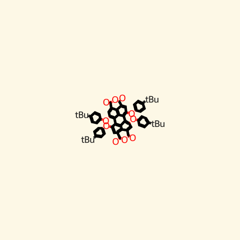 CC(C)(C)c1ccc(Oc2cc3c4c(cc(Oc5ccc(C(C)(C)C)cc5)c5c6c(Oc7ccc(C(C)(C)C)cc7)cc7c8c(cc(Oc9ccc(C(C)(C)C)cc9)c(c2c45)c86)C(=O)OC7=O)C(=O)OC3=O)cc1